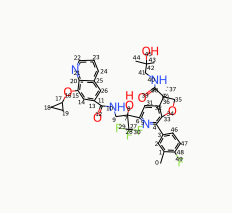 Cc1cc(-c2nc(C(O)(CNC(=O)c3cc(OC4CC4)c4ncccc4c3)C(F)(F)F)cc3c2OC[C@]3(C)C(=O)NCC(C)(C)O)ccc1F